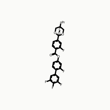 CCCC12COC(c3ccc(C(=O)Oc4ccc(-c5cc(F)c(F)c(F)c5)c(F)c4)c(F)c3)(OC1)OC2